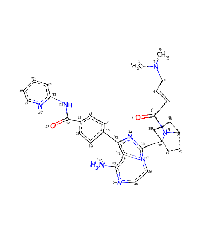 CN(C)C/C=C/C(=O)N1C2CCC1(c1nc(-c3ccc(C(=O)Nc4ccccn4)cc3)c3c(N)nccn13)CC2